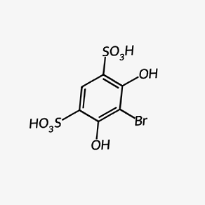 O=S(=O)(O)c1cc(S(=O)(=O)O)c(O)c(Br)c1O